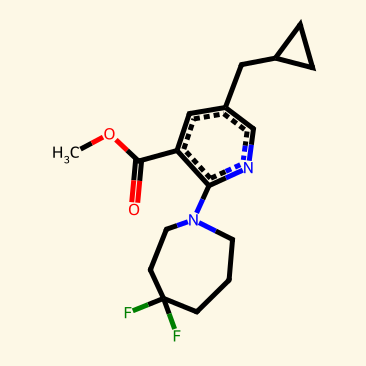 COC(=O)c1cc(CC2CC2)cnc1N1CCCC(F)(F)CC1